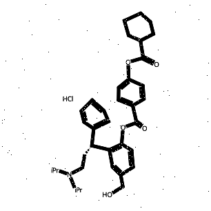 CC(C)N(CC[C@H](c1ccccc1)c1cc(CO)ccc1OC(=O)c1ccc(OC(=O)C2CCCCC2)cc1)C(C)C.Cl